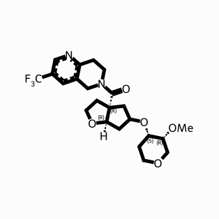 CO[C@@H]1COCC[C@@H]1OC1C[C@H]2OCC[C@@]2(C(=O)N2CCc3ncc(C(F)(F)F)cc3C2)C1